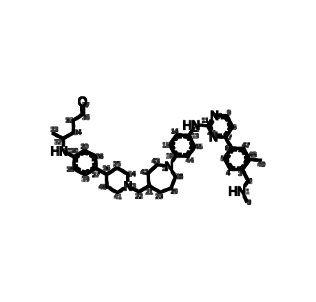 CNCc1ccc(-c2ccnc(Nc3ccc(N4CCCC(CN5CCC(c6ccc(NC(C)CCC=O)cc6)CC5)CC4)cc3)n2)cc1C